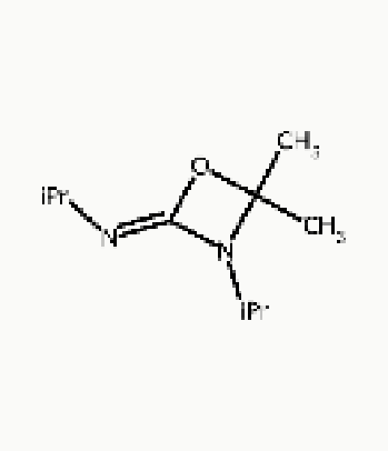 CC(C)/N=C1\OC(C)(C)N1C(C)C